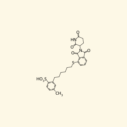 Cc1ccc(S(=O)(=O)O)c(CCCCCCSc2cccc3c2C(=O)N(C2CCC(=O)NC2=O)C3=O)c1